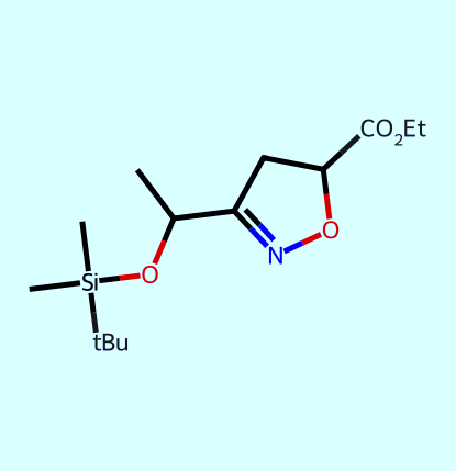 CCOC(=O)C1CC(C(C)O[Si](C)(C)C(C)(C)C)=NO1